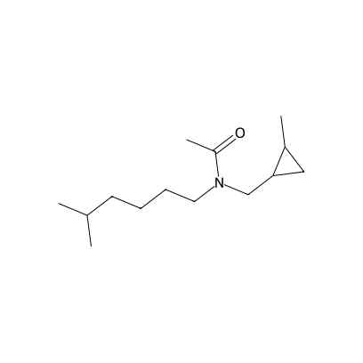 CC(=O)N(CCCCC(C)C)CC1CC1C